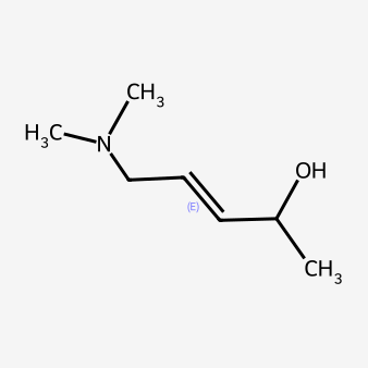 CC(O)/C=C/CN(C)C